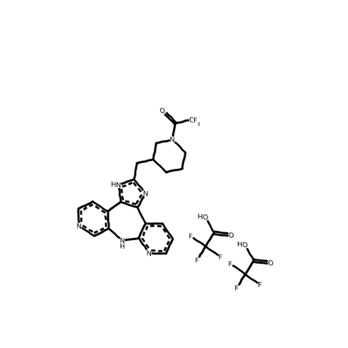 O=C(N1CCCC(Cc2nc3c([nH]2)-c2ccncc2Nc2ncccc2-3)C1)C(F)(F)F.O=C(O)C(F)(F)F.O=C(O)C(F)(F)F